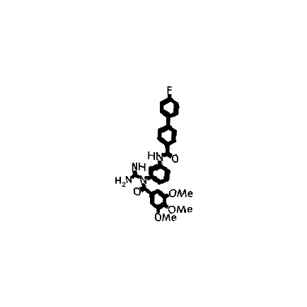 COc1cc(C(=O)N(C(=N)N)c2cccc(NC(=O)c3ccc(-c4ccc(F)cc4)cc3)c2)cc(OC)c1OC